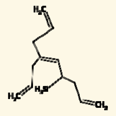 C=CCC(=CC([SiH3])CC=C)CC=C